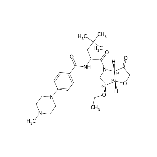 CCO[C@H]1CN(C(=O)C(CC(C)(C)C)NC(=O)c2ccc(N3CCN(C)CC3)cc2)[C@@H]2C(=O)CO[C@H]12